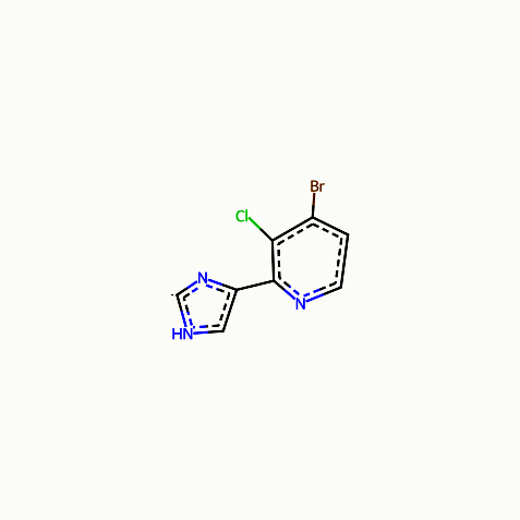 Clc1c(Br)ccnc1-c1c[nH][c]n1